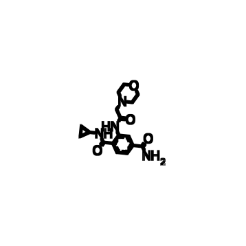 NC(=O)c1ccc(C(=O)NC2CC2)c(NC(=O)CN2CCOCC2)c1